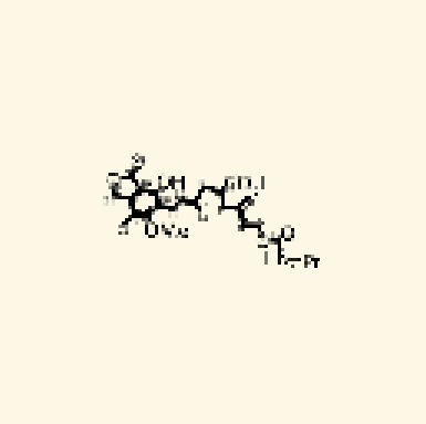 CCCNC(=O)OC/C=C(\C)CC(C/C(C)=C/Cc1c(O)c2c(c(C)c1OC)COC2=O)C(=O)O